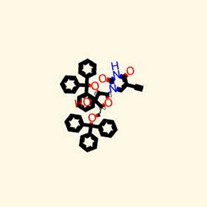 C#Cc1cn([C@@H]2O[C@H](COC(c3ccccc3)(c3ccccc3)c3ccccc3)[C@@H](O)[C@H]2OC(c2ccccc2)(c2ccccc2)c2ccccc2)c(=O)[nH]c1=O